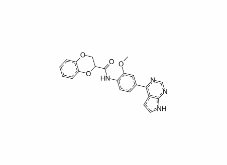 COc1cc(-c2ncnc3[nH]ccc23)ccc1NC(=O)C1COc2ccccc2O1